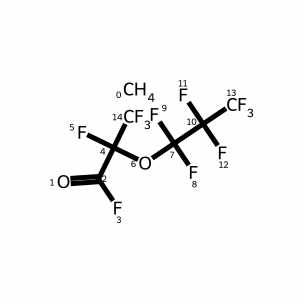 C.O=C(F)C(F)(OC(F)(F)C(F)(F)C(F)(F)F)C(F)(F)F